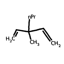 [CH2]CCC(C)(C=C)C=C